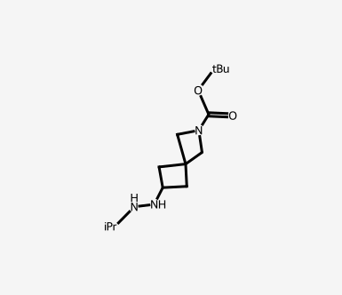 CC(C)NNC1CC2(C1)CN(C(=O)OC(C)(C)C)C2